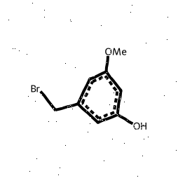 COc1cc(O)cc(CBr)c1